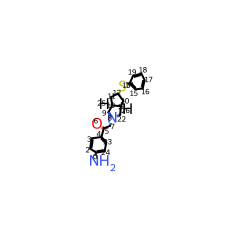 Nc1ccc(C(=O)CN2C[C@H]3C[C@H](Sc4ccccc4)C[C@H]3C2)cc1